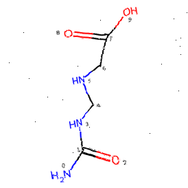 NC(=O)NCNCC(=O)O